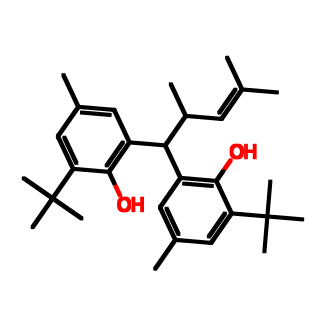 CC(C)=CC(C)C(c1cc(C)cc(C(C)(C)C)c1O)c1cc(C)cc(C(C)(C)C)c1O